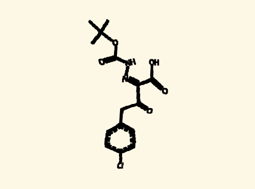 CC(C)(C)OC(=O)NN=C(C(=O)O)C(=O)Cc1ccc(Cl)cc1